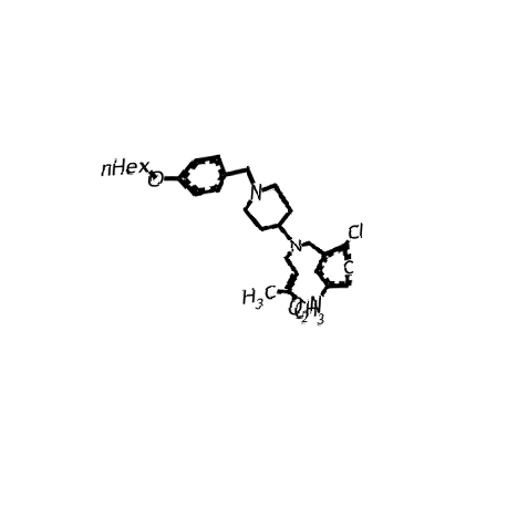 CCCCCCOc1ccc(CN2CCC(N(CC=C(C)C)Cc3cc([N+](=O)[O-])ccc3Cl)CC2)cc1